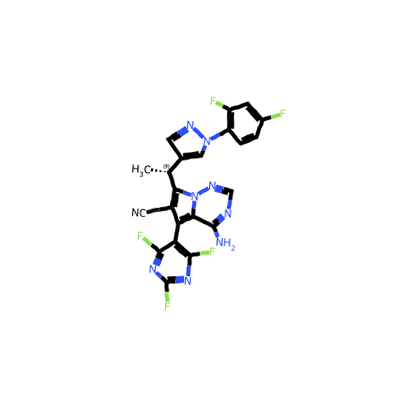 C[C@H](c1cnn(-c2ccc(F)cc2F)c1)c1c(C#N)c(-c2c(F)nc(F)nc2F)c2c(N)ncnn12